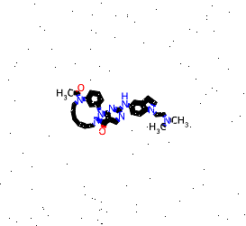 CC(=O)N1CCC/C=C\Cn2c(=O)c3cnc(Nc4ccc5c(ccn5CCN(C)C)c4)nc3n2-c2cccc1c2